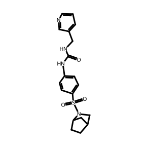 O=C(NCc1cccnc1)Nc1ccc(S(=O)(=O)N2CC3CCC2C3)cc1